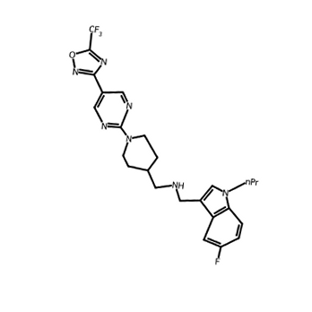 CCCn1cc(CNCC2CCN(c3ncc(-c4noc(C(F)(F)F)n4)cn3)CC2)c2cc(F)ccc21